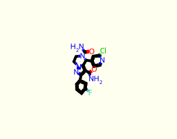 NC(=O)c1c(-c2cccc(F)c2)nn2c1C(c1ccnc(Cl)c1)N(C(N)=O)CC2